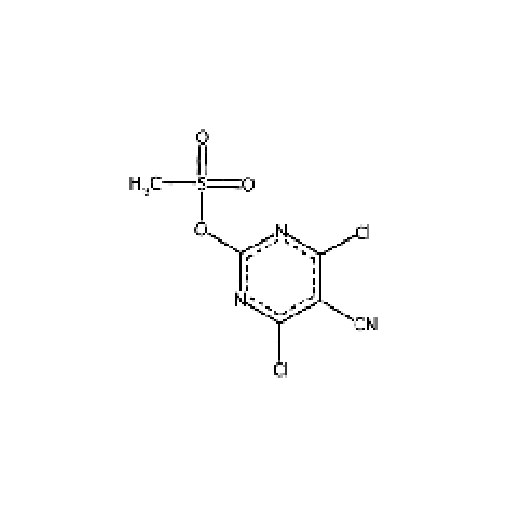 CS(=O)(=O)Oc1nc(Cl)c(C#N)c(Cl)n1